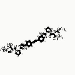 COO/C=N\[C@H](C(=O)N1CCC[C@H]1c1ncc(-c2ccc(C#Cc3ccc4nc([C@@H]5CCCN5C(=O)[C@@H](NC(=O)OC)[C@@H](C)O)[nH]c4c3)cc2)[nH]1)[C@@H](C)O